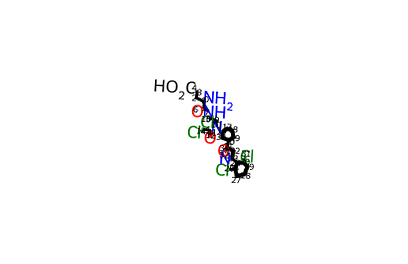 NC(CCC(=O)O)C(=O)NCCN(C(=O)C(Cl)Cl)c1cccc(-c2cc(-c3c(Cl)cccc3Cl)no2)c1